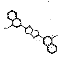 CC(C)(C)c1cc(C2=NC3SC(c4cc(C(C)(C)C)c5ccccc5c4)=NC3S2)cc2ccccc12